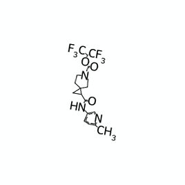 Cc1ccc(NC(=O)C2CC23CCN(C(=O)OC(C(F)(F)F)C(F)(F)F)CC3)cn1